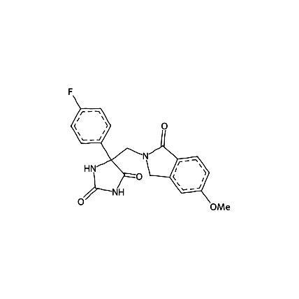 COc1ccc2c(c1)CN(CC1(c3ccc(F)cc3)NC(=O)NC1=O)C2=O